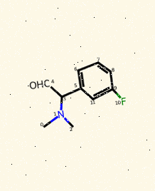 CN(C)C([C]=O)c1cccc(F)c1